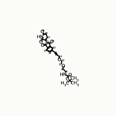 CC(C)(C)OC(=O)NCCOCCOCC#Cc1ccc2c(c1)C(=O)N(C1CCC(=O)NC1=O)C2=O